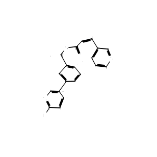 C[C@H](NC(=O)/C=C\c1cccnc1)c1cccc(-c2ccc(F)nc2)c1